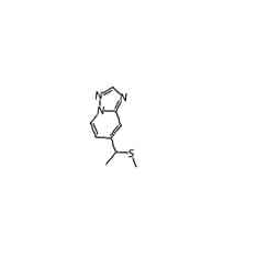 CSC(C)c1ccn2ncnc2c1